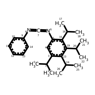 CC(C)c1cc(N=C=Nc2ccccc2)c(C(C)C)c(C(C)C)c1C(C)C